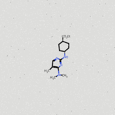 CCOC(=O)[C@H]1CC[C@@H](Nc2ncc(C)c(N(C)C)n2)CC1